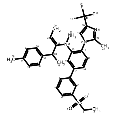 CCS(=O)(=O)c1cccc(-c2ccc(-n3cc(C(F)(F)F)nc3C)c(N(N)/C(=C\N)C(C)c3ccc(C)cc3)c2)c1